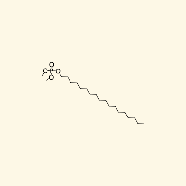 CCCCCCCCCCCCCCCCCCOP(=O)(OC)OC